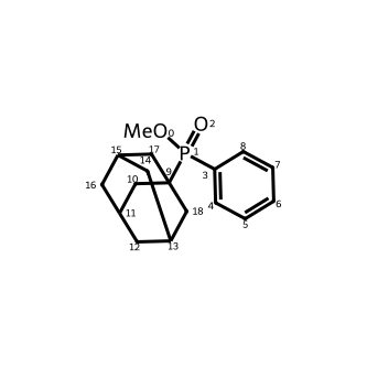 COP(=O)(c1ccccc1)C12CC3CC(CC(C3)C1)C2